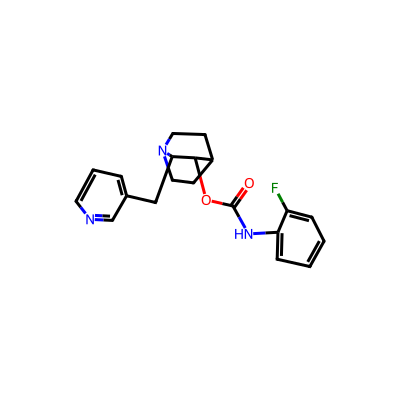 O=C(Nc1ccccc1F)OC1C2CCN(CC2)C1Cc1cccnc1